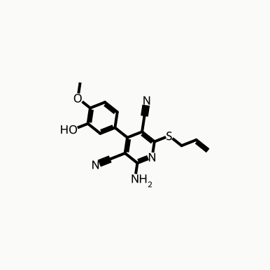 C=CCSc1nc(N)c(C#N)c(-c2ccc(OC)c(O)c2)c1C#N